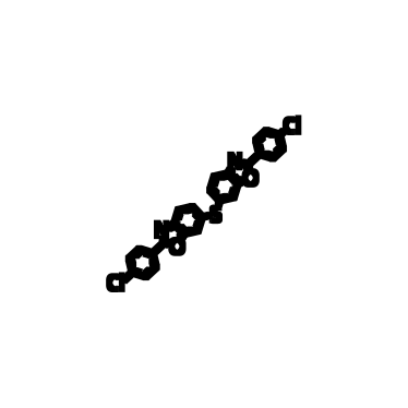 Clc1ccc(-c2nc3ccc(Sc4ccc5nc(-c6ccc(Cl)cc6)oc5c4)cc3o2)cc1